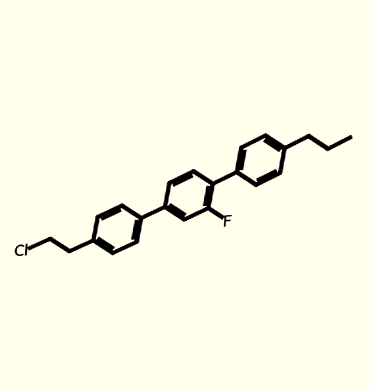 CCCc1ccc(-c2ccc(-c3ccc(CCCl)cc3)cc2F)cc1